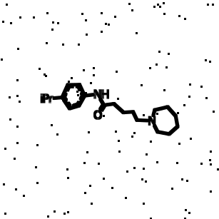 CC(C)c1ccc(NC(=O)CCCCN2CCCCCC2)cc1